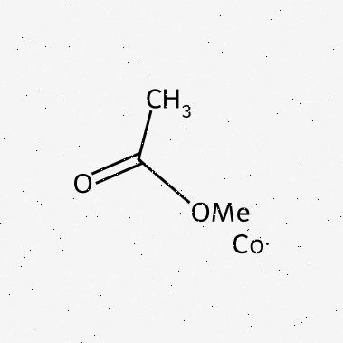 COC(C)=O.[Co]